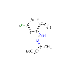 CCOC(=O)/C(C)=N/Nc1cc(F)ccc1C